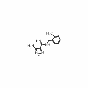 Cc1ccccc1CNC(=N)c1nonc1N